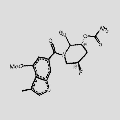 COc1cc(C(=O)N2C[C@H](F)C[C@@H](OC(N)=O)C2C(C)(C)C)cc2occ(C)c12